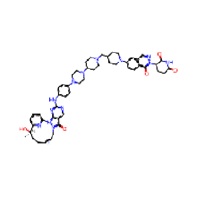 C[C@@]1(O)CC/C=C\Cn2c(=O)c3cnc(Nc4ccc(N5CCN(C6CCN(CC7CCN(c8ccc9c(=O)n(C%10CCC(=O)NC%10=O)ncc9c8)CC7)CC6)CC5)cc4)nc3n2-c2cccc1n2